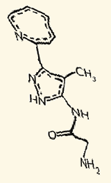 Cc1c(-c2ccccn2)n[nH]c1NC(=O)CN